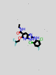 CCNC(=O)c1cc2nc(Nc3c(Cl)cc(F)cc3Cl)[nH]c2nc1OCC(F)F